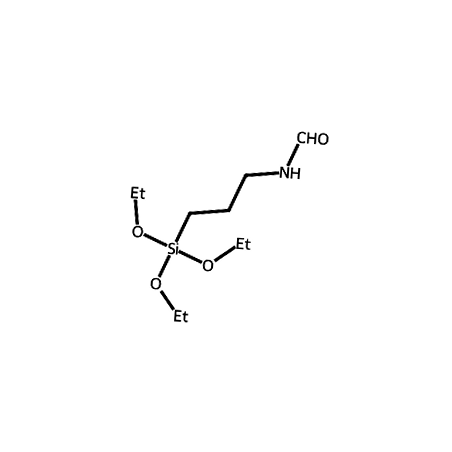 CCO[Si](CCCNC=O)(OCC)OCC